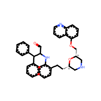 O=C[C](Nc1ccccc1CC[C@H]1CNC[C@@H](COc2cccc3ncccc23)O1)C(c1ccccc1)c1ccccc1